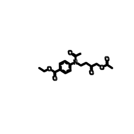 CCOC(=O)c1ccc(N(CCC(=O)COC(C)=O)C(C)=O)cc1